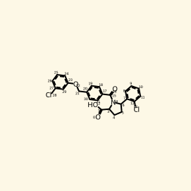 O=C(O)C1CCC(c2ccccc2Cl)N1C(=O)c1ccc(COc2cccc(Cl)c2)cc1